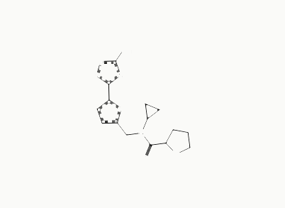 O=C(C1CCCO1)N(Cc1ccc(-c2noc(C(F)(F)F)n2)s1)C1CC1